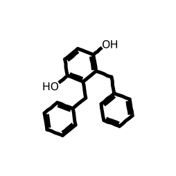 Oc1ccc(O)c(Cc2ccccc2)c1Cc1ccccc1